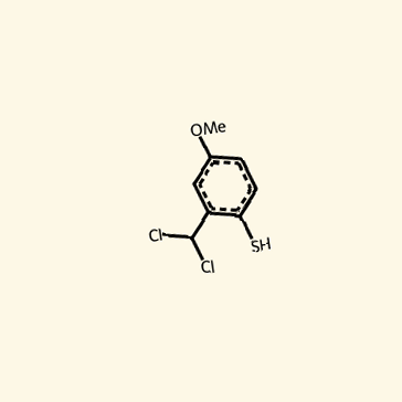 COc1ccc(S)c(C(Cl)Cl)c1